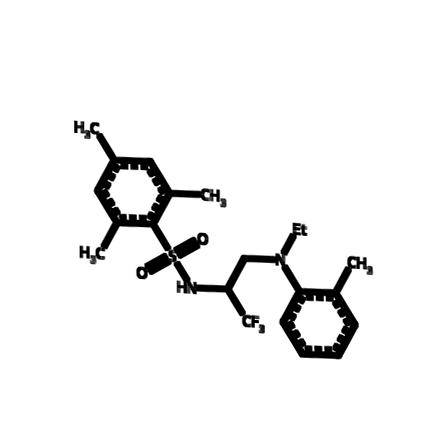 CCN(CC(NS(=O)(=O)c1c(C)cc(C)cc1C)C(F)(F)F)c1ccccc1C